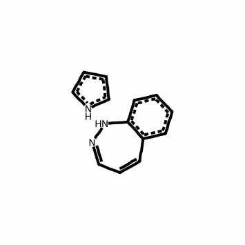 C1=Cc2ccccc2NN=C1.c1cc[nH]c1